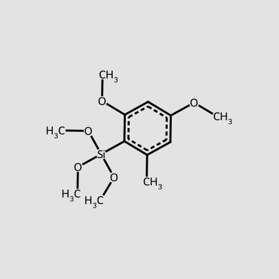 COc1cc(C)c([Si](OC)(OC)OC)c(OC)c1